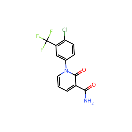 NC(=O)c1cccn(-c2ccc(Cl)c(C(F)(F)F)c2)c1=O